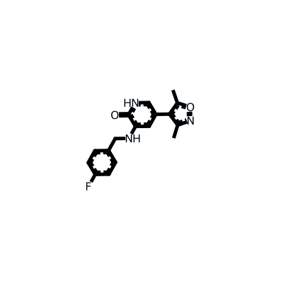 Cc1noc(C)c1-c1c[nH]c(=O)c(NCc2ccc(F)cc2)c1